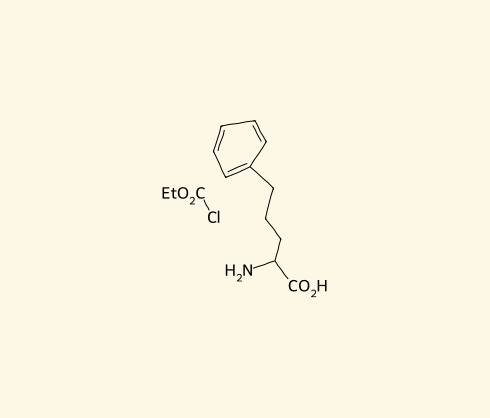 CCOC(=O)Cl.NC(CCCc1ccccc1)C(=O)O